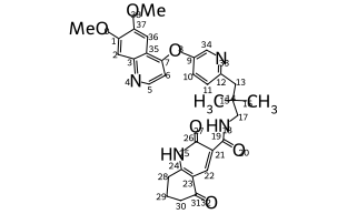 COc1cc2nccc(Oc3ccc(CC(C)(C)CNC(=O)c4cc5c([nH]c4=O)CCCC5=O)nc3)c2cc1OC